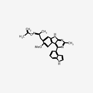 C=C(C)O/N=C(/C)Cc1cc2[nH]c3nc(C)nc(-c4cccc5[nH]ccc45)c3c2cc1OC